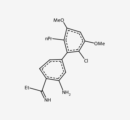 CCCc1c(OC)cc(OC)c(Cl)c1-c1ccc(C(=N)CC)c(N)c1